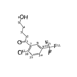 O=C(CCCCO)c1cc(C(F)(F)F)ccc1Cl